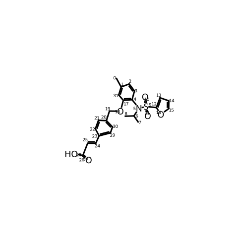 Cc1ccc(N(C(C)C)S(=O)(=O)c2ccco2)c(OCc2ccc(/C=C/C(=O)O)cc2)c1